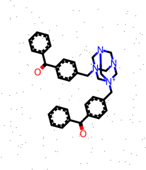 O=C(c1ccccc1)c1ccc(C[N+]23CN4CN(C2)C[N+](Cc2ccc(C(=O)c5ccccc5)cc2)(C4)C3)cc1